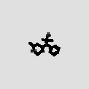 CC1CN(C(c2ccccc2)C(C)(C)O)CCN1